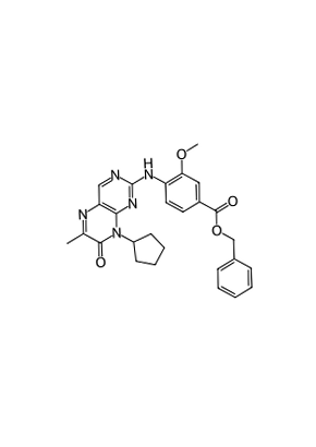 COc1cc(C(=O)OCc2ccccc2)ccc1Nc1ncc2nc(C)c(=O)n(C3CCCC3)c2n1